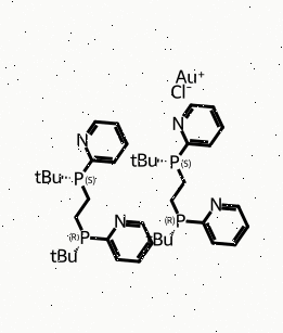 CC(C)(C)[P@](CC[P@@](c1ccccn1)C(C)(C)C)c1ccccn1.CC(C)(C)[P@](CC[P@@](c1ccccn1)C(C)(C)C)c1ccccn1.[Au+].[Cl-]